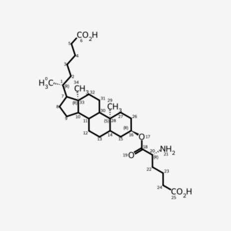 C[C@H](CCCCC(=O)O)C1CCC2C3CCC4C[C@H](OC(=O)[C@H](N)CCCC(=O)O)CC[C@]4(C)C3CC[C@@]21C